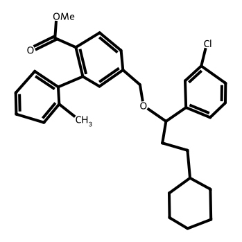 COC(=O)c1ccc(COC(CCC2CCCCC2)c2cccc(Cl)c2)cc1-c1ccccc1C